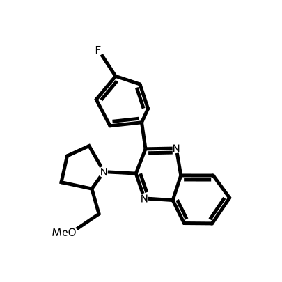 COCC1CCCN1c1nc2ccccc2nc1-c1ccc(F)cc1